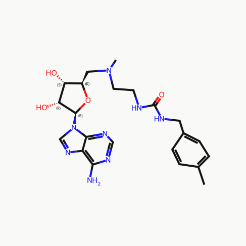 Cc1ccc(CNC(=O)NCCN(C)C[C@H]2O[C@@H](n3cnc4c(N)ncnc43)[C@H](O)[C@@H]2O)cc1